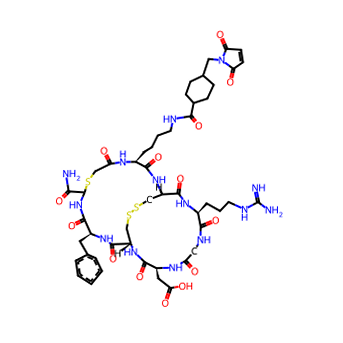 N=C(N)NCCC[C@@H]1NC(=O)[C@@H]2CSSC[C@H](NC(=O)[C@H](CC(=O)O)NC(=O)CNC1=O)C(=O)N[C@@H](Cc1ccccc1)C(=O)NC(C(N)=O)SCC(=O)N[C@@H](CCCCNC(=O)C1CCC(CN3C(=O)C=CC3=O)CC1)C(=O)N2